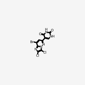 O=c1[nH]cc(-c2cc(Br)c3nc(Cl)c(Cl)n3n2)c(=O)[nH]1